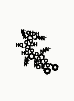 CC[C@@H]([C@@H]1CC[C@@H](N=[N+]=[N-])[C@@H](O[C@H]2[C@H](O[C@@H]3O[C@H](CO)[C@@H](O[C@H]4O[C@@H](CN=[N+]=[N-])[C@@H](O)[C@H](O)[C@H]4N=[N+]=[N-])[C@H]3O)[C@@H](O)[C@H](N=[N+]=[N-])C[C@@H]2N=[N+]=[N-])O1)N(Cc1ccccc1)C(=O)OCc1ccccc1